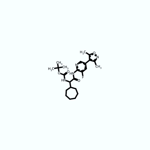 Cc1noc(C)c1-c1cnc(NC(=O)C(NC(=O)OC(C)(C)C)C2CCCCCC2)c(F)c1